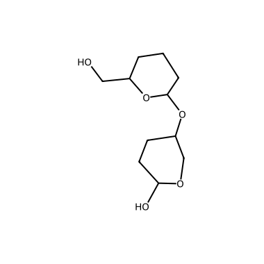 OCC1CCCC(OC2CCC(O)OC2)O1